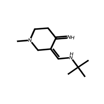 CN1CCC(=N)/C(=C\NC(C)(C)C)C1